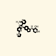 Nc1ncccc1-c1nc2ccc(-n3cccn3)nc2n1-c1ccc2c(c1)CC[C@@H]2NC1CCNC[C@H]1O